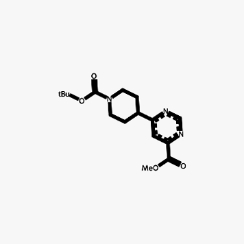 COC(=O)c1cc(C2CCN(C(=O)OC(C)(C)C)CC2)ncn1